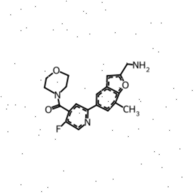 Cc1cc(-c2cc(C(=O)N3CCOCC3)c(F)cn2)cc2cc(CN)oc12